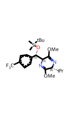 COC1=N[C@H](C(C)C)C(OC)=N[C@H]1[C@@H](O[Si](C)(C)C(C)(C)C)c1ccc(C(F)(F)F)cc1